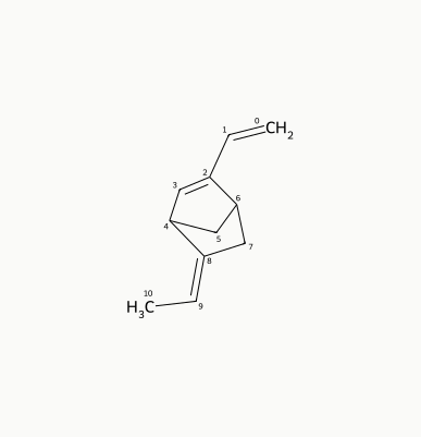 C=CC1=CC2CC1CC2=CC